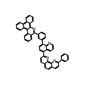 c1ccc(-c2ccc3ccc4ccc(-c5ccc(-c6cccc(-c7nc8c9ccccc9c9ccccc9c8c8ccccc78)c6)c6ncccc56)nc4c3n2)cc1